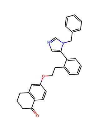 O=C1CCCc2cc(OCCc3ccccc3-c3cncn3Cc3ccccc3)ccc21